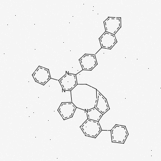 c1ccc(-c2nc(-c3ccc(-c4ccc5ccccc5c4)cc3)c3c(n2)-c2ccccc2-n2c4cc(ccc4c4c(-c5ccccc5)cccc42)C3)cc1